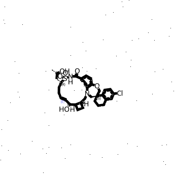 C[C@H](O)C[C@H]1CC/C=C/[C@H](O)[C@@H]2CC[C@H]2CN2C[C@@]3(CCCc4cc(Cl)ccc43)COc3ccc(cc32)C(=O)NS1(=O)=O